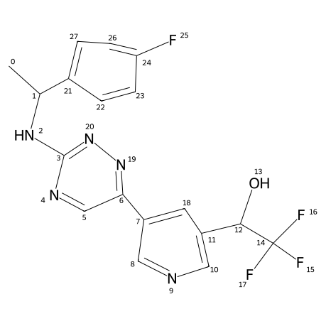 CC(Nc1ncc(-c2cncc(C(O)C(F)(F)F)c2)nn1)c1ccc(F)cc1